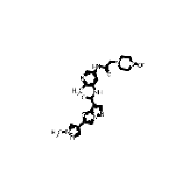 Cc1ncc(NC(=O)CN2CC[S+]([O-])CC2)cc1NC(=O)c1cnn2cc(-c3cnn(C)c3)sc12